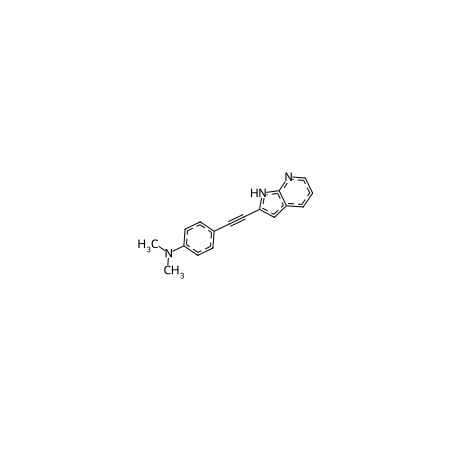 CN(C)c1ccc(C#Cc2cc3cccnc3[nH]2)cc1